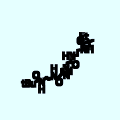 CCC(C)(C)C(=O)NCCNC(=O)Cn1cc(C(=O)NCCNC(=O)C(C)(C)C)nn1